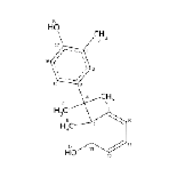 Cc1cc(C(C)(C)C2(C)C=CC=CC2O)ccc1O